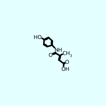 C/C(=C\C(=O)O)C(=O)Nc1ccc(O)cc1